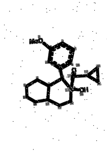 COc1cccc(C2C3CCCCC3CC[N+]2(O)C(=O)C2CC2)c1